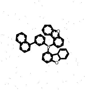 C1=CC2Oc3cccc(N(c4cccc(-c5cccc6ccccc56)c4)c4cccc5oc6ccccc6c45)c3C2C=C1